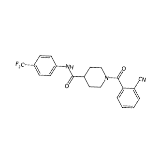 N#Cc1ccccc1C(=O)N1CCC(C(=O)Nc2ccc(C(F)(F)F)cc2)CC1